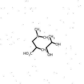 CC(CN(C)C)C(=O)O.CC(O)CO